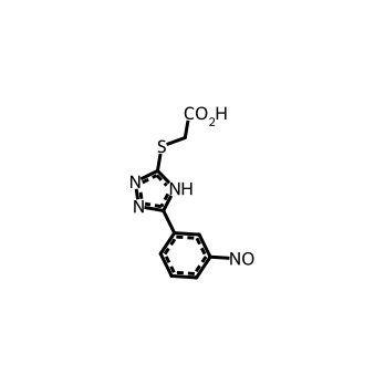 O=Nc1cccc(-c2nnc(SCC(=O)O)[nH]2)c1